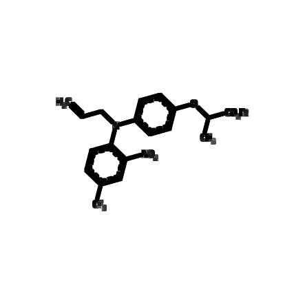 C=CCN(c1ccc(OC(C)C(=O)OCC)cc1)c1ccc(C(F)(F)F)cc1[N+](=O)[O-]